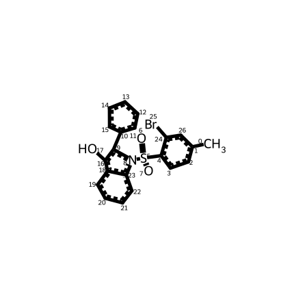 Cc1ccc(S(=O)(=O)n2c(-c3ccccc3)c(O)c3ccccc32)c(Br)c1